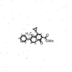 COC(=O)c1cc(C2CC2)c2c(C)c(-c3cccnc3)ccn2c1=O